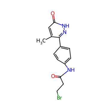 Cc1cc(=O)[nH]nc1-c1ccc(NC(=O)CCBr)cc1